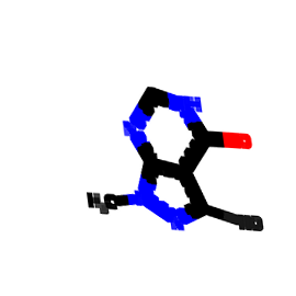 Cn1nc(N=O)c2c(=O)[nH]cnc21